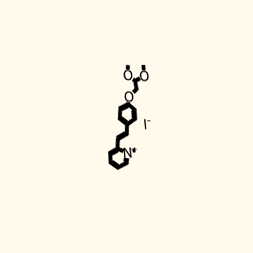 COC(COc1ccc(/C=C/c2cccc[n+]2C)cc1)OC.[I-]